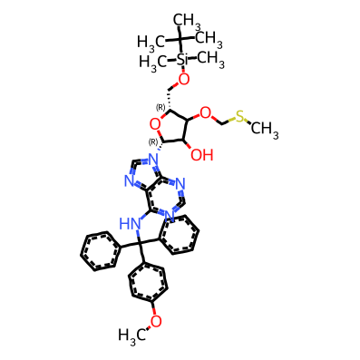 COc1ccc(C(Nc2ncnc3c2ncn3[C@@H]2O[C@H](CO[Si](C)(C)C(C)(C)C)C(OCSC)C2O)(c2ccccc2)c2ccccc2)cc1